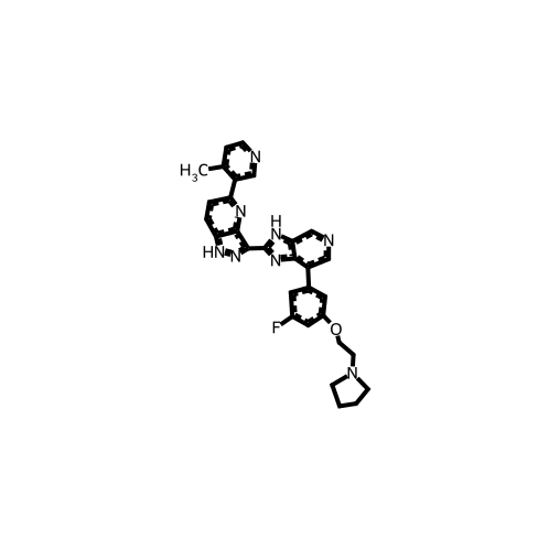 Cc1ccncc1-c1ccc2[nH]nc(-c3nc4c(-c5cc(F)cc(OCCN6CCCC6)c5)cncc4[nH]3)c2n1